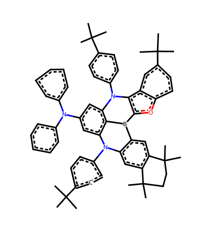 CC(C)(C)c1ccc(N2c3cc4c(cc3B3c5oc6ccc(C(C)(C)C)cc6c5N(c5ccc(C(C)(C)C)cc5)c5cc(N(c6ccccc6)c6ccccc6)cc2c53)C(C)(C)CCC4(C)C)cc1